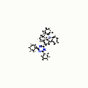 c1ccc(-c2nc(-c3ccccc3)nc(-c3cc4c5ccccc5n5c6ccccc6c6cccc3c6c45)n2)cc1